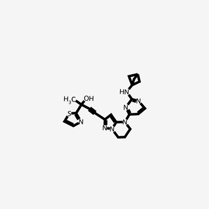 CC(O)(C#Cc1cc2n(n1)CCCN2c1ccnc(NC23CC(C2)C3)n1)c1nccs1